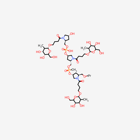 CC(C)OC[C@@H]1C[C@@H](OP(C)(=O)OC[C@@H]2C[C@@H](OP(=O)(O)OC[C@@H]3C[C@@H](O)CN3C(=O)CCCO[C@@H]3OC(CO)[C@H](O)[C@H](O)C3C)CN2C(=O)CCCO[C@@H]2OC(CO)[C@H](O)[C@H](O)C2C)CN1C(=O)CCCO[C@@H]1OC(CO)[C@H](O)[C@H](O)C1C